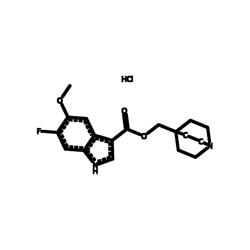 COc1cc2c(C(=O)OCC34CCN(CC3)CC4)c[nH]c2cc1F.Cl